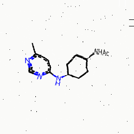 CC(=O)N[C@H]1CC[C@@H](Nc2cc(C)ncn2)CC1